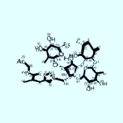 CCC1O[C@H](O[C@@H]2C(C)C[C@@H](C)C(O)[C@H]2O[C@@H]2O[C@H](Cn3cc(CC(C)C(=O)NCC(C)=O)nn3)[C@H](O[C@H]3O[C@@H](CC)[C@@H](O)C(O)C3C)C2O)C(C)[C@@H](O)[C@@H]1O